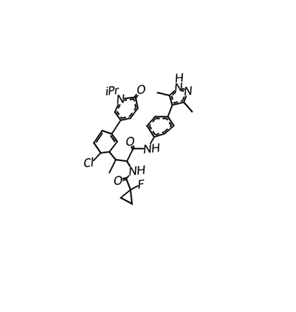 Cc1n[nH]c(C)c1-c1ccc(NC(=O)C(NC(=O)C2(F)CC2)C(C)C2C=C(c3ccc(=O)n(C(C)C)c3)C=CC2Cl)cc1